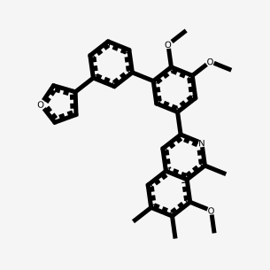 COc1cc(-c2cc3cc(C)c(C)c(OC)c3c(C)n2)cc(-c2cccc(-c3ccoc3)c2)c1OC